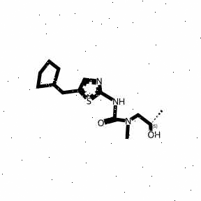 C[C@H](O)CN(C)C(=O)Nc1ncc(CC2CCCC2)s1